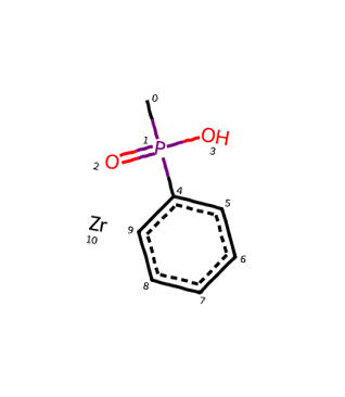 CP(=O)(O)c1ccccc1.[Zr]